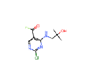 CC(C)(O)CNc1nc(Cl)ncc1C(=O)F